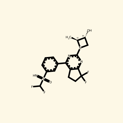 C[C@H]1[C@H](O)CN1c1nc(-c2cccc(S(=N)(=O)C(F)F)c2)c2c(n1)C(F)(F)CC2